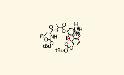 CC(C)CC(NC(=O)OC(C)(C)C)C(=O)OC(C)C(=O)OC1=CC[C@@]2(O)[C@H]3Cc4ccc(OC(=O)OC(C)(C)C)c5c4[C@@]2(CCN3C)[C@H]1O5